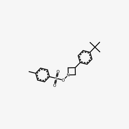 Cc1ccc(S(=O)(=O)ON2CC(c3ccc(C(C)(C)C)cc3)C2)cc1